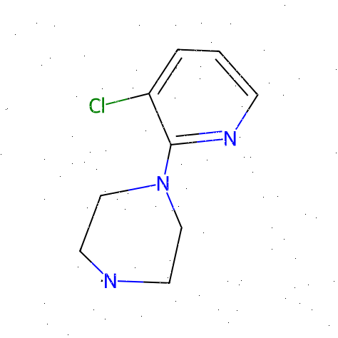 Clc1cccnc1N1CC[N]CC1